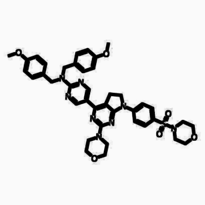 COc1ccc(CN(Cc2ccc(OC)cc2)c2ncc(-c3nc(N4CCOCC4)nc4c3CCN4c3ccc(S(=O)(=O)N4CCOCC4)cc3)cn2)cc1